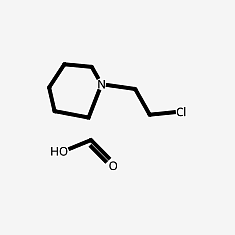 ClCCN1CCCCC1.O=CO